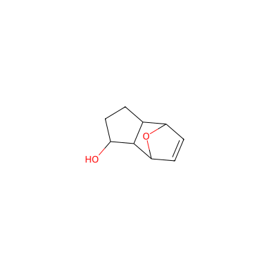 OC1CCC2C3C=CC(O3)C12